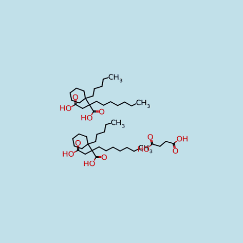 CCCCCCCC(CC(=O)O)(C(=O)O)C1(CCCCC)CCCCC1.CCCCCCCC(CC(=O)O)(C(=O)O)C1(CCCCC)CCCCC1.O=C(O)CCC(=O)O